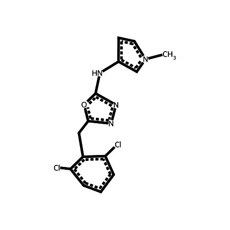 Cn1ccc(Nc2nnc(Cc3c(Cl)cccc3Cl)o2)c1